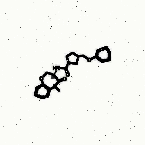 CN1C(=O)[C@@H](NC(=O)N2CCC(COc3ccccc3)C2)COc2ccccc21